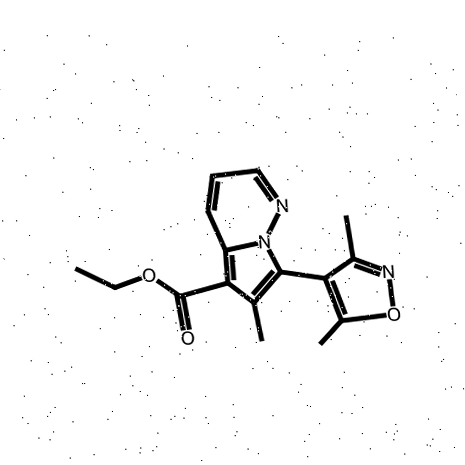 CCOC(=O)c1c(C)c(-c2c(C)noc2C)n2ncccc12